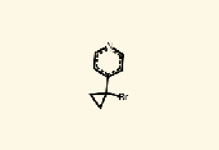 BrC1(c2ccncc2)CC1